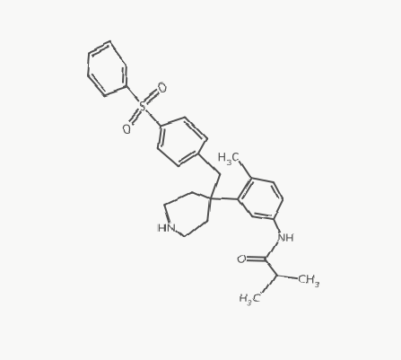 Cc1ccc(NC(=O)C(C)C)cc1C1(Cc2ccc(S(=O)(=O)c3ccccc3)cc2)CCNCC1